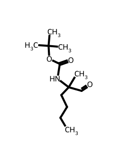 CCCCC(C)(C=O)NC(=O)OC(C)(C)C